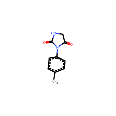 O=C1CNC(=O)N1c1ccc(C(F)(F)F)cc1